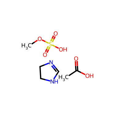 C1=NCCN1.CC(=O)O.COS(=O)(=O)O